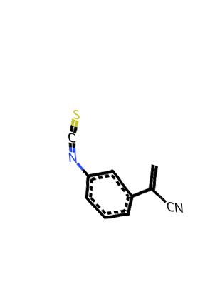 C=C(C#N)c1cccc(N=C=S)c1